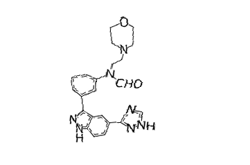 O=CN(CCN1CCOCC1)c1cccc(-c2n[nH]c3ccc(-c4nc[nH]n4)cc23)c1